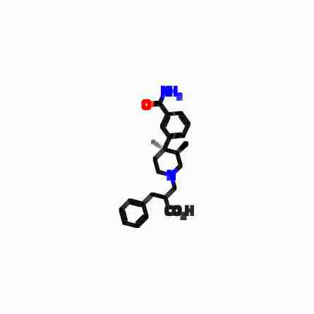 C[C@H]1CN(CC(Cc2ccccc2)C(=O)O)CC[C@@]1(C)c1cccc(C(N)=O)c1